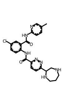 Cc1ccc(NC(=O)c2cc(Cl)ccc2NC(=O)c2ccc(C3CNCCCN3)nn2)nc1